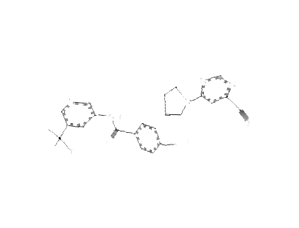 Cc1ccc(C(=O)Nc2cncc(C(F)(F)F)c2)cc1[C@@H]1CCN(c2cc(C#N)ncn2)C1